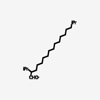 CC(C)CCCCCCCCCCCCCC([C]=O)C(C)C